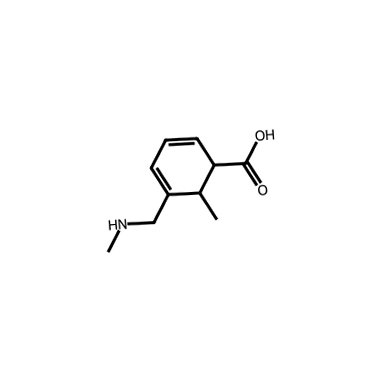 CNCC1=CC=CC(C(=O)O)C1C